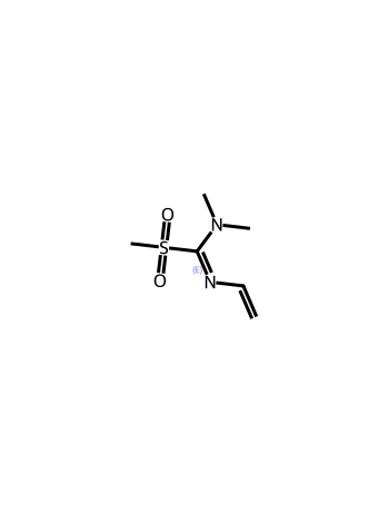 C=C/N=C(\N(C)C)S(C)(=O)=O